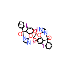 O=C(Oc1nccn1C1OC1(c1ccccc1)c1ccc(I)cc1I)C(=O)Oc1nccn1C1OC1(c1ccccc1)c1ccc(I)cc1I